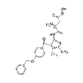 Cc1sc(NC(=O)[C@@H](N)CC(=O)OC(C)(C)C)c(C(=O)c2ccc(OCc3ccccc3)cc2)c1C